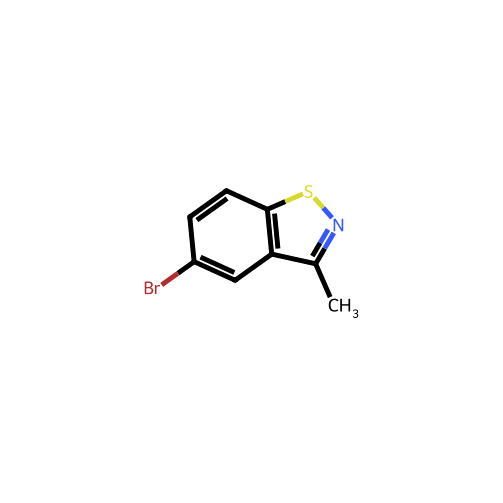 Cc1nsc2ccc(Br)cc12